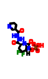 O=C(NNC(=O)[C@@H]1CC(F)(F)[C@@H]2CN1C(=O)N2OS(=O)(=O)O)c1cccnc1